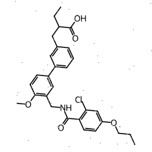 CCCOc1ccc(C(=O)NCc2cc(-c3cccc(CC(CC)C(=O)O)c3)ccc2OC)c(Cl)c1